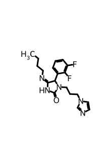 CCCC/N=C1/NC(=O)N(CCCn2ccnc2)C1c1cccc(F)c1F